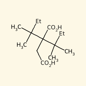 CCC(C)(C)C(CC(=O)O)(C(=O)O)C(C)(C)CC